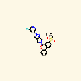 CCS(=O)(=O)c1ccc(-c2ccccc2)c(C(=O)N2Cc3cn(-c4cncc(F)c4)nc3C2)c1